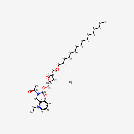 CCCCCCCCCCCCCCCCOC[C@@H]1C[C@H](COC(=O)N(Cc2cccc[n+]2CC)C(C)=O)O1.[I-]